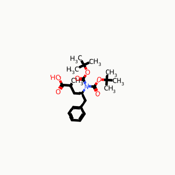 CC(CC(Cc1ccccc1)N(C(=O)OC(C)(C)C)C(=O)OC(C)(C)C)C(=O)O